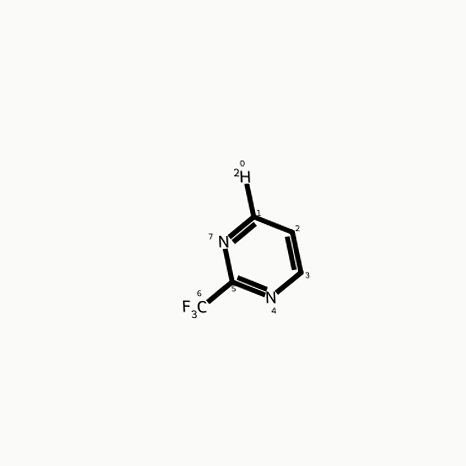 [2H]c1ccnc(C(F)(F)F)n1